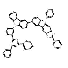 C1=c2c(n(-c3ccccc3)c3ccc(-c4ccc5c(c4)c4ccccc4n5-c4cccc(-c5nc(-c6ccccc6)nc(-c6ccccc6)n5)c4)cc23)=CC2N=C(c3ccccc3)SC12